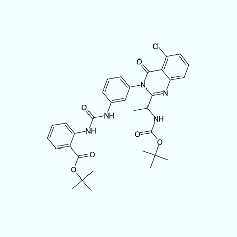 CC(NC(=O)OC(C)(C)C)c1nc2cccc(Cl)c2c(=O)n1-c1cccc(NC(=O)Nc2ccccc2C(=O)OC(C)(C)C)c1